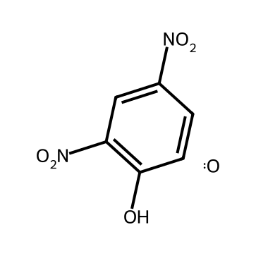 O=[N+]([O-])c1ccc(O)c([N+](=O)[O-])c1.[O]